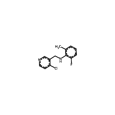 Cc1cccc(F)c1NCc1cnccc1Cl